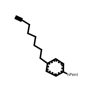 [C]#CCCCCCCc1ccc(CCCCC)cc1